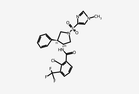 Cn1cnc(S(=O)(=O)N2C[C@H](NC(=O)c3cccc(C(F)(F)F)c3Cl)[C@@H](c3ccccc3)C2)c1